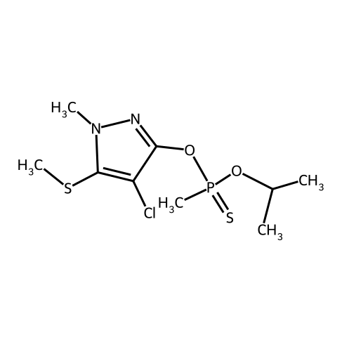 CSc1c(Cl)c(OP(C)(=S)OC(C)C)nn1C